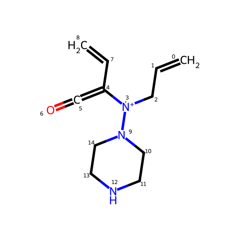 C=CC[N+](C(=C=O)C=C)N1CCNCC1